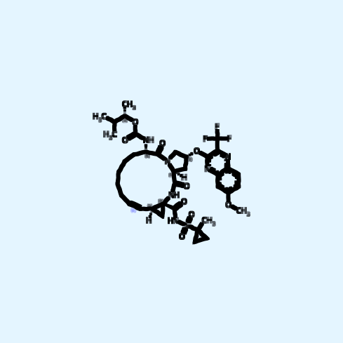 COc1ccc2nc(C(F)(F)F)c(O[C@@H]3C[C@H]4C(=O)N[C@]5(C(=O)NS(=O)(=O)C6(C)CC6)C[C@H]5/C=C\CCCCC[C@H](NC(=O)O[C@@H](C)C(C)C)C(=O)N4C3)nc2c1